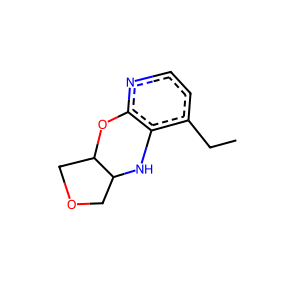 CCc1ccnc2c1NC1COCC1O2